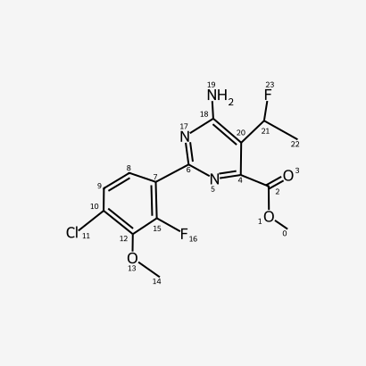 COC(=O)c1nc(-c2ccc(Cl)c(OC)c2F)nc(N)c1C(C)F